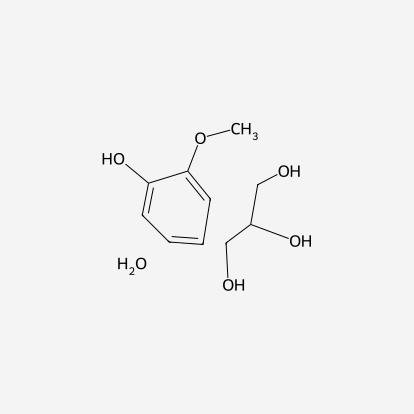 COc1ccccc1O.O.OCC(O)CO